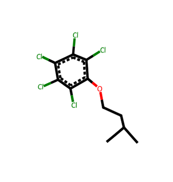 CC(C)CCOc1c(Cl)c(Cl)c(Cl)c(Cl)c1Cl